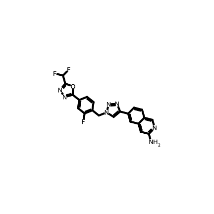 Nc1cc2cc(-c3cn(Cc4ccc(-c5nnc(C(F)F)o5)cc4F)nn3)ccc2cn1